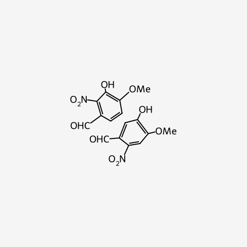 COc1cc([N+](=O)[O-])c(C=O)cc1O.COc1ccc(C=O)c([N+](=O)[O-])c1O